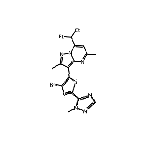 CCC(CC)c1cc(C)nc2c(-c3sc(-c4ncnn4C)nc3Br)c(C)nn12